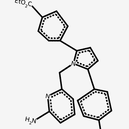 CCOC(=O)c1ccc(-c2ccc(-c3ccc(F)cc3)n2Cc2cccc(N)n2)cc1